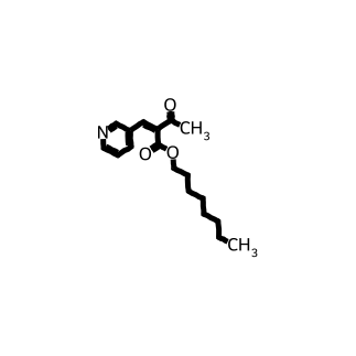 CCCCCCCCOC(=O)C(=Cc1cccnc1)C(C)=O